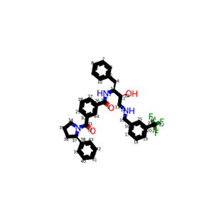 O=C(N[C@@H](Cc1ccccc1)[C@H](O)CNCc1cccc(C(F)(F)F)c1)c1cccc(C(=O)N2CCC[C@@H]2c2ccccc2)c1